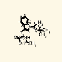 CCN[C@@H](Cc1cn(C(=O)OC(C)(C)C)c2ccccc12)C(=O)O